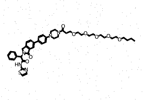 CCCCOCCOCCOCCOCCOCCC(=O)N1CCN(c2ccc(-c3ccc4c(c3)C(=O)N(C(C(=O)Nc3nccs3)c3ccccc3)C4)cc2)CC1